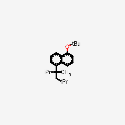 CC(C)CC(C)(c1cccc2c(OC(C)(C)C)cccc12)C(C)C